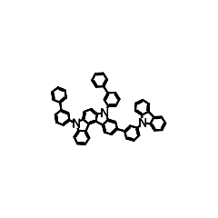 c1ccc(-c2cccc(-n3c4ccccc4c4c5c6ccc(-c7cccc(-n8c9ccccc9c9ccccc98)c7)cc6n(-c6cccc(-c7ccccc7)c6)c5ccc43)c2)cc1